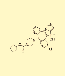 Cn1cncc1C(C)(O)C1=Cc2cccnc2[C@@H](N2CCN(C(=O)OC3CCCC3)CC2)c2ccc(Cl)cc21